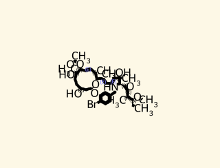 CC[C@H](OC)[C@@H](C)[C@H]1O[C@@H]1C(NCc1ccc(Br)cc1)C(C)(O)/C=C/C=C(\C)C1OC(=O)C[C@H](O)CC[C@@](C)(O)[C@@H](OC(C)=O)/C=C/[C@@H]1C